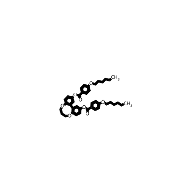 CCCCCCOc1ccc(C(=O)Oc2ccc3c(c2)-c2cc(OC(=O)c4ccc(OCCCCCC)cc4)ccc2OCCCO3)cc1